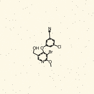 COc1ncc(CO)c(Oc2cc(Cl)cc(C#N)c2)c1Br